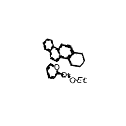 CCOCC.O=c1cccco1.c1ccc2c(c1)ccc1c3c(ccc12)CCCC3